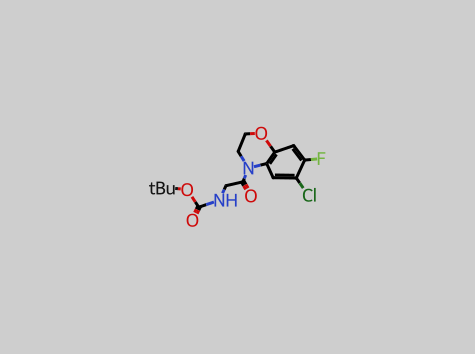 CC(C)(C)OC(=O)NCC(=O)N1CCOc2cc(F)c(Cl)cc21